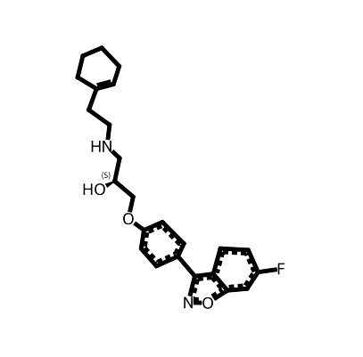 O[C@@H](CNCCC1=CCCCC1)COc1ccc(-c2noc3cc(F)ccc23)cc1